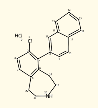 Cl.Clc1ccc2c(c1-c1ccc3ccccc3c1)CCNCC2